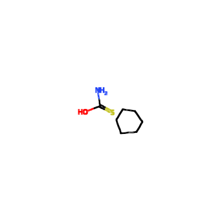 C1CCCCC1.NC(O)=S